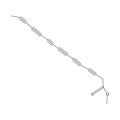 CC#CC#CC#CC#CC#CC#CCC(=O)OC